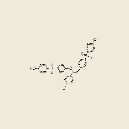 Cc1ccc(C(Oc2ccc(S(=O)(=O)c3ccc(O)cc3)cc2)Oc2ccc(S(=O)(=O)c3ccc(O)cc3)cc2)cc1